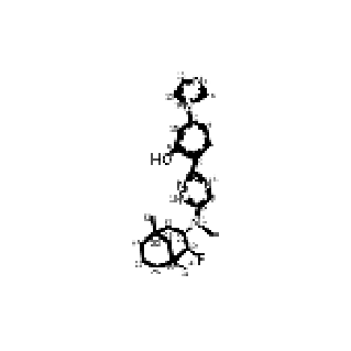 CN(c1cnc(-c2ccc(-n3ccnc3)cc2O)nn1)[C@@H]1C[C@@]2(C)CCC[C@](C)(C2)[C@@H]1F